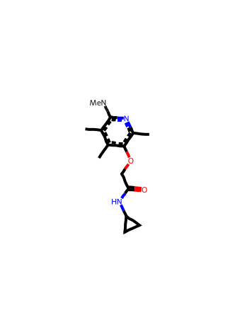 CNc1nc(C)c(OCC(=O)NC2CC2)c(C)c1C